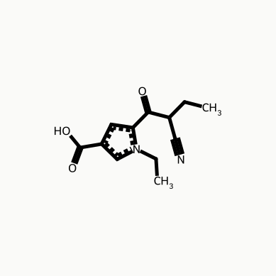 CCC(C#N)C(=O)c1cc(C(=O)O)cn1CC